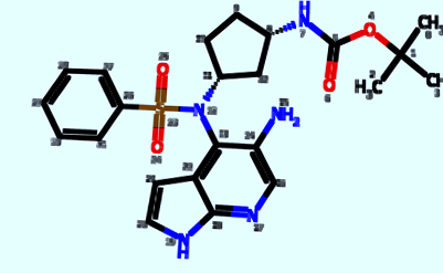 CC(C)(C)OC(=O)N[C@H]1CC[C@@H](N(c2c(N)cnc3[nH]ccc23)S(=O)(=O)c2ccccc2)C1